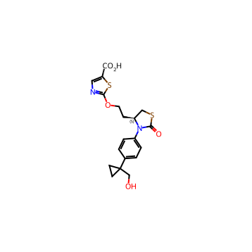 O=C(O)c1cnc(OCC[C@H]2CSC(=O)N2c2ccc(C3(CO)CC3)cc2)s1